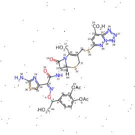 CC(=O)Oc1ccc(C(ON=C(C(=O)N[C@@H]2C(=O)N3C(C(=O)O)=C(CSc4cc(C(=O)O)c5nnnn5n4)CS[C@H]23)c2csc(N)n2)C(=O)O)cc1OC(C)=O